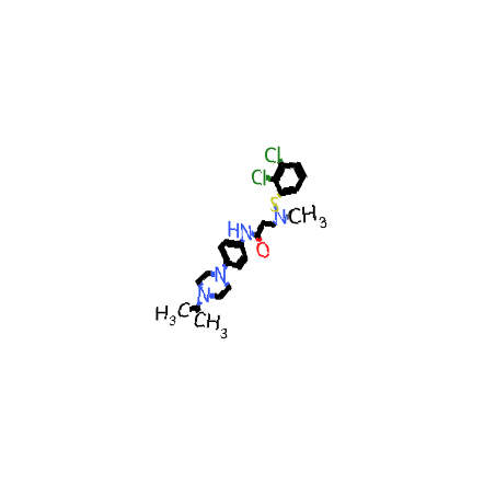 CC(C)N1CCN(c2ccc(NC(=O)CCN(C)Sc3cccc(Cl)c3Cl)cc2)CC1